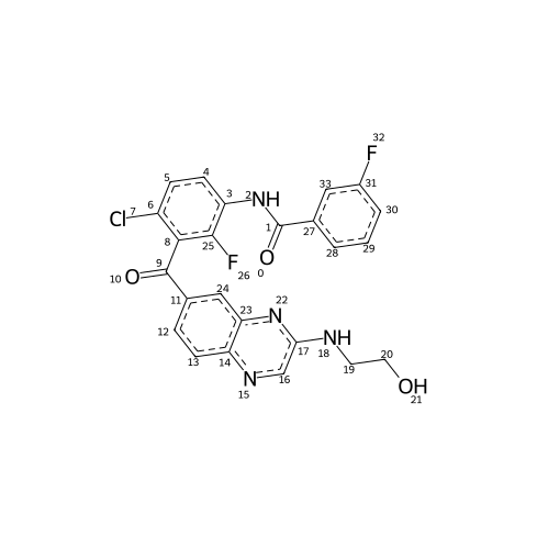 O=C(Nc1ccc(Cl)c(C(=O)c2ccc3ncc(NCCO)nc3c2)c1F)c1cccc(F)c1